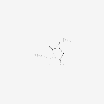 CC(C)(C)NN1C(=O)CN(C(C)(C)C)C1=O